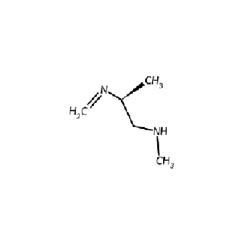 C=N[C@@H](C)CNC